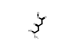 C[C@H](O)CC(=O)CC(=O)OCl